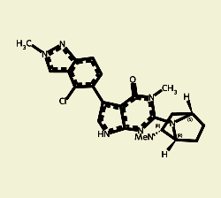 CN[C@@H]1C[C@@H]2CC[C@H]1N2c1nc2[nH]cc(-c3ccc4nn(C)cc4c3Cl)c2c(=O)n1C